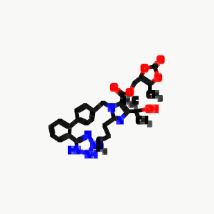 CCCc1nc(C(C)(C)O)c(C(=O)OCc2oc(=O)oc2C)n1Cc1ccc(-c2ccccc2C2=NNNN2)cc1